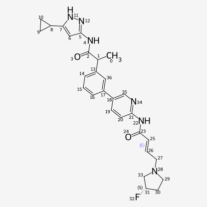 CC(C(=O)Nc1cc(C2CC2)[nH]n1)c1cccc(-c2ccc(NC(=O)/C=C/CN3CC[C@H](F)C3)nc2)c1